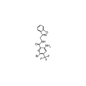 Nc1cc(C(F)(F)F)c(Br)nc1C(=O)NCc1noc2ccccc12